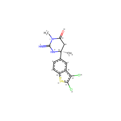 CN1C(=N)N[C@](C)(c2ccc3sc(Cl)c(Cl)c3c2)CC1=O